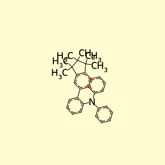 CC1(C)c2ccc(-c3ccccc3N(c3ccccc3)c3ccccc3)cc2C(C)(C)C1(C)C